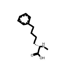 CN[C@@H](CCCCc1ccccc1)C(=O)O